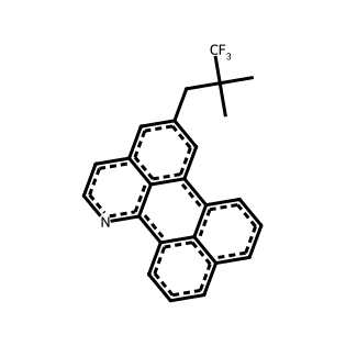 CC(C)(Cc1cc2ccnc3c4cccc5cccc(c(c1)c23)c54)C(F)(F)F